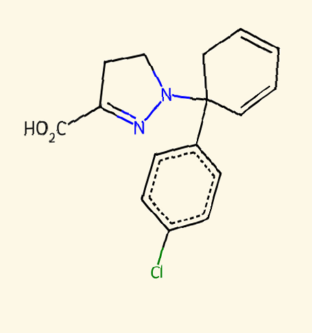 O=C(O)C1=NN(C2(c3ccc(Cl)cc3)C=CC=CC2)CC1